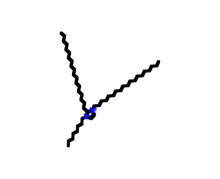 CCCCCCCCCCCCCCCCCCCc1n(CCCCCCCC)cc[n+]1CCCCCCCCCCCCCCCCCCC